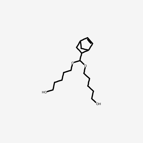 OCCCCCOC(OCCCCCO)C1CC2C=CC1C2